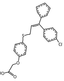 O=C(O)COc1ccc(SCC=C(c2ccccc2)c2ccc(Cl)cc2)cc1